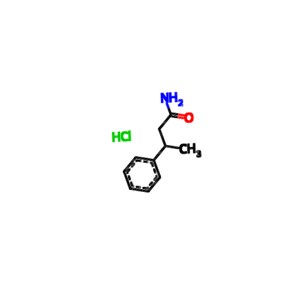 CC(CC(N)=O)c1ccccc1.Cl